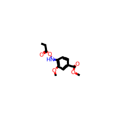 CCC(=O)ONc1ccc(C(=O)OC)cc1OC